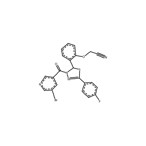 N#CCOc1ccccc1C1SC(c2ccc(F)cc2)=NN1C(=O)c1cncc(Br)c1